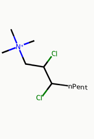 CCCCCC(Cl)C(Cl)C[N+](C)(C)C